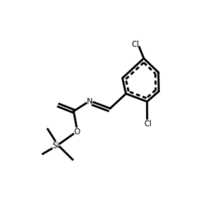 C=C(/N=C/c1cc(Cl)ccc1Cl)O[Si](C)(C)C